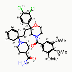 COc1cc(C(=O)N2CCOC(CCC3(N4CCC(C(N)=O)CC4)C=CC=CC3)(c3ccc(Cl)c(Cl)c3)C2)cc(OC)c1OC